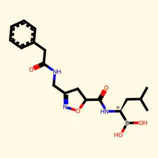 CC(C)C[C@H](NC(=O)C1CC(CNC(=O)Cc2ccccc2)=NO1)B(O)O